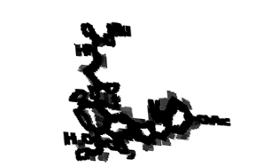 CCC1(OC(=O)CCNC(=O)OC(C)(C)C)C(=O)OC([Si](C)(C)CCl)c2c1cc1n(c2=O)Cc2cc3cc(OC(C)=O)ccc3nc2-1